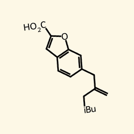 C=C(Cc1ccc2cc(C(=O)O)oc2c1)CC(C)CC